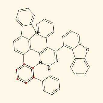 c1ccc(C2=C(c3c(-c4ccccc4)ccc4c3[nH]c3ccccc34)N(c3ccccc3-c3ccccc3)NN=C2c2cccc3oc4ccccc4c23)cc1